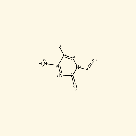 Cc1cn(P=S)c(=O)nc1N